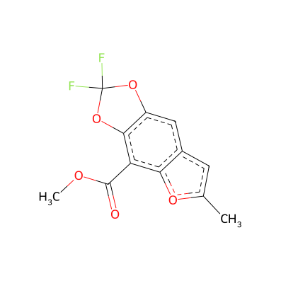 COC(=O)c1c2c(cc3cc(C)oc13)OC(F)(F)O2